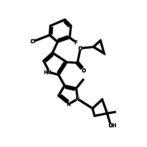 Cc1c(-c2[nH]cc(-c3c(F)cccc3Cl)c2C(=O)OC2CC2)cnn1C1CC(C)(O)C1